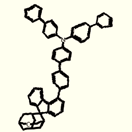 c1ccc(-c2ccc(N(c3ccc(-c4ccccc4)cc3)c3ccc(-c4ccc(-c5cccc6c5-c5ccccc5C65C6CCC7CC(C6)CC5C7)cc4)cc3)cc2)cc1